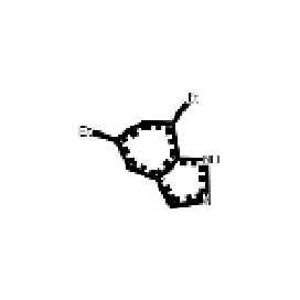 CCc1cc(CC)c2[nH]ncc2c1